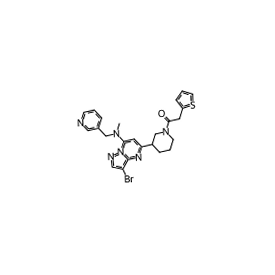 CN(Cc1cccnc1)c1cc(C2CCCN(C(=O)Cc3cccs3)C2)nc2c(Br)cnn12